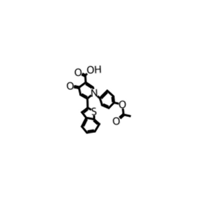 CC(=O)Oc1ccc(-n2cc(C(=O)O)c(=O)cc2-c2cc3ccccc3s2)cc1